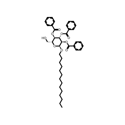 CCCCCCCCCCCCCCO[C@H]1O[C@H](CO)[C@@H](OC(=O)c2ccccc2)[C@H](OC(=O)c2ccccc2)[C@H]1OC(=O)c1ccccc1